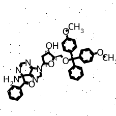 COc1ccc(C(OC[C@H]2O[C@@H](N3CN=C4C3=NC=NC4(N)C(=O)c3ccccc3)C[C@@H]2O)(c2ccccc2)c2ccc(OC)cc2)cc1